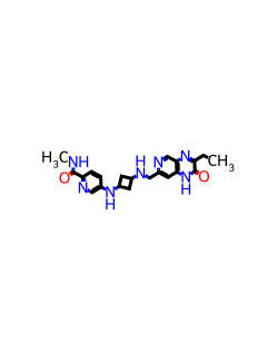 CCc1nc2cnc(CNC3CC(Nc4ccc(C(=O)NC)nc4)C3)cc2[nH]c1=O